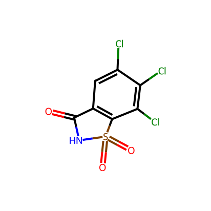 O=C1NS(=O)(=O)c2c1cc(Cl)c(Cl)c2Cl